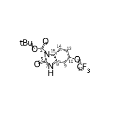 CC(C)(C)OC(=O)n1c(=O)[nH]c2cc(OC(F)(F)F)ccc21